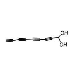 C#CC#CC#CC#CC(O)O